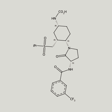 CC(C)S(=O)(=O)C[C@@H]1C[C@H](NC(=O)O)CC[C@@H]1N1CC[C@H](NC(=O)c2cccc(C(F)(F)F)c2)C1=O